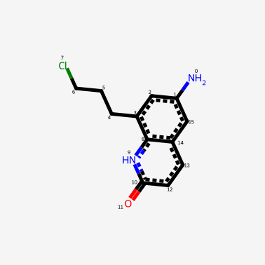 Nc1cc(CCCCl)c2[nH]c(=O)ccc2c1